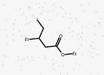 CCOC(=O)CC(CC)CI